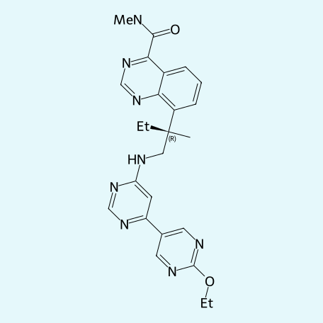 CCOc1ncc(-c2cc(NC[C@](C)(CC)c3cccc4c(C(=O)NC)ncnc34)ncn2)cn1